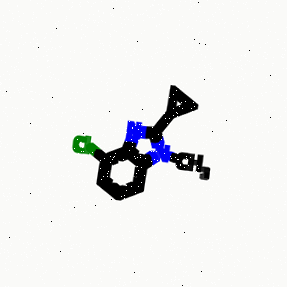 Cn1c(C2CC2)nc2c(Cl)cccc21